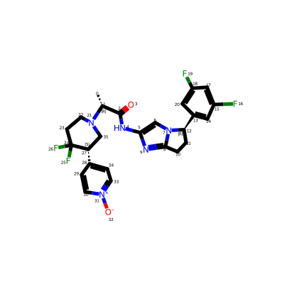 C[C@H](C(=O)Nc1cn2c(n1)CC[C@@H]2c1cc(F)cc(F)c1)N1CCC(F)(F)[C@@H](c2cc[n+]([O-])cc2)C1